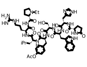 CCN1CCC[C@H]1C(=O)NC(=O)[C@H](CCCNC(=N)N)NC(=O)[C@@H](CC(C)C)NC(=O)[C@H](Cc1ccc(OC(C)=O)cc1)NC(=O)[C@H](CO)NC(=O)[C@H](Cc1c[nH]c2ccccc12)NC(=O)[C@H](Cc1c[nH]cn1)NC(=O)[C@@H]1CCC(=O)N1